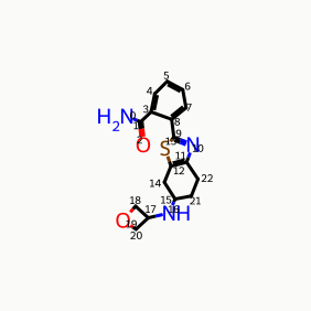 NC(=O)c1ccccc1-c1nc2c(s1)CC(NC1COC1)CC2